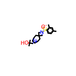 Cc1ccc([S+]([O-])N2CC3(CC4CCC(C3)N4CC(C)(C)O)C2)c(C)c1